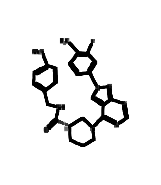 CSc1ccc(CNC(=O)[C@H]2CCCN(c3ncnc4nn(-c5ccc(C(F)(F)F)c(F)c5)cc34)C2)cc1